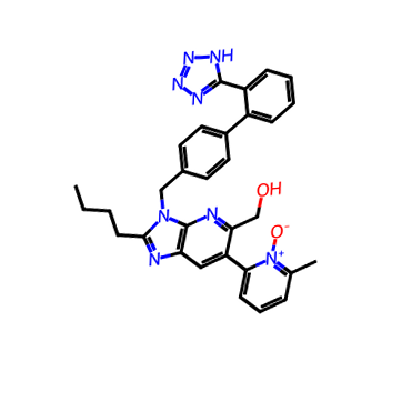 CCCCc1nc2cc(-c3cccc(C)[n+]3[O-])c(CO)nc2n1Cc1ccc(-c2ccccc2-c2nnn[nH]2)cc1